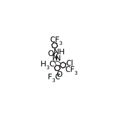 CC1(c2ccc(OC(F)(F)F)cc2)CN(C(=O)Nc2ccc(C(F)(F)F)cc2)N=C1c1ccc(C(F)(F)F)c(Cl)c1